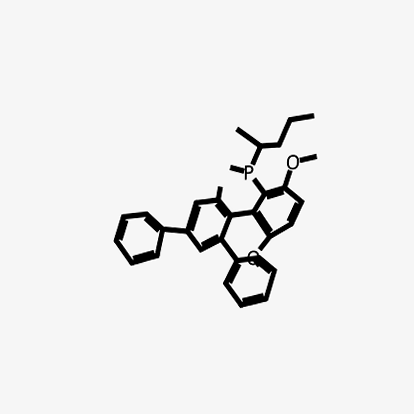 CCCC(C)P(C)c1c(OC)ccc(OC)c1-c1c(C)cc(-c2ccccc2)cc1-c1ccccc1